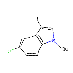 CCC(C)n1cc(C)c2cc(Cl)ccc21